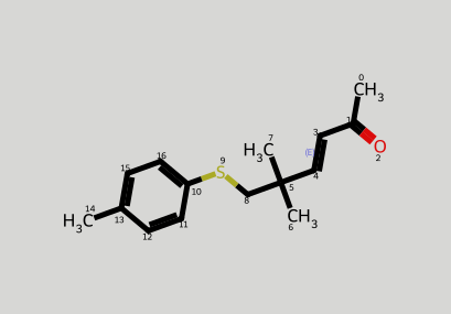 CC(=O)/C=C/C(C)(C)CSc1ccc(C)cc1